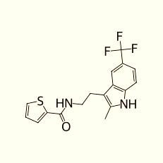 Cc1[nH]c2ccc(C(F)(F)F)cc2c1CCNC(=O)c1cccs1